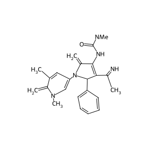 C=C1C(C)=CC(N2C(=C)C(NC(=O)NC)=C(C(C)=N)C2c2ccccc2)=CN1C